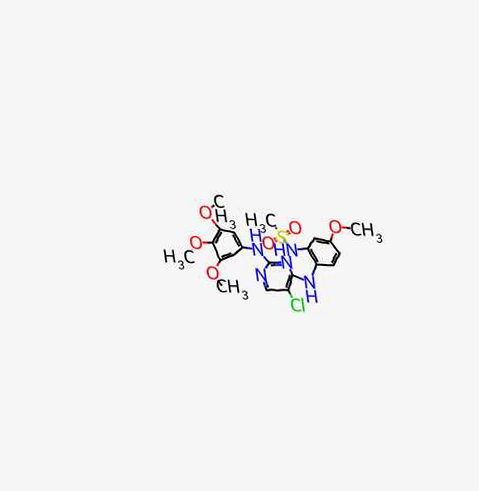 COc1ccc(Nc2nc(Nc3cc(OC)c(OC)c(OC)c3)ncc2Cl)c(NS(C)(=O)=O)c1